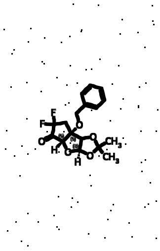 CC1(C)OC2[C@H](O[C@@H]3C(=O)C(F)(F)C[C@]23OCc2ccccc2)O1